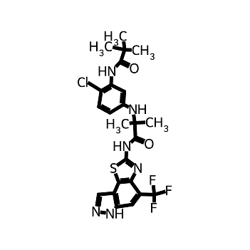 CC(C)(C)C(=O)Nc1cc(NC(C)(C)C(=O)Nc2nc3c(C(F)(F)F)cc4[nH]ncc4c3s2)ccc1Cl